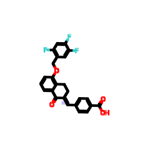 O=C(O)c1ccc(/C=C2\CCc3c(OCc4cc(F)c(F)cc4F)cccc3C2=O)cc1